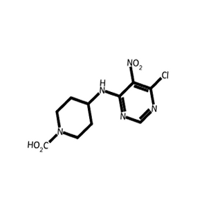 O=C(O)N1CCC(Nc2ncnc(Cl)c2[N+](=O)[O-])CC1